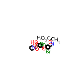 CC(O/N=C\c1cc(Br)c(Oc2ccc(O)c(S(=O)(=O)N3CCCCC3)c2)c(Br)c1)C(=O)O